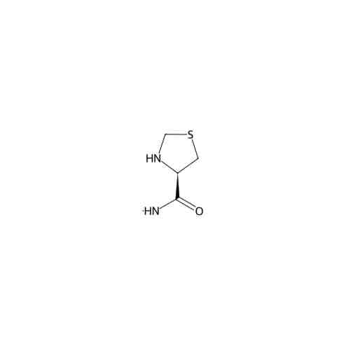 [NH]C(=O)[C@@H]1CSCN1